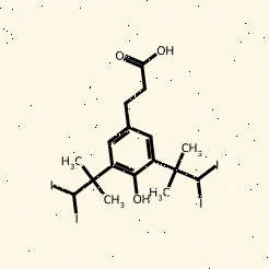 CC(C)(c1cc(CCC(=O)O)cc(C(C)(C)C(I)I)c1O)C(I)I